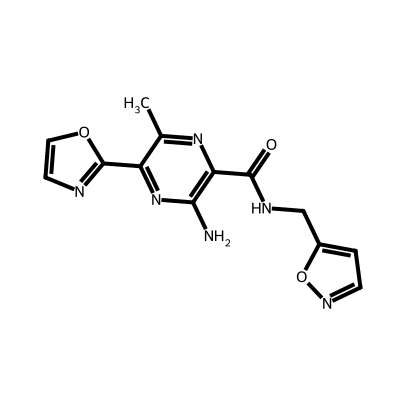 Cc1nc(C(=O)NCc2ccno2)c(N)nc1-c1ncco1